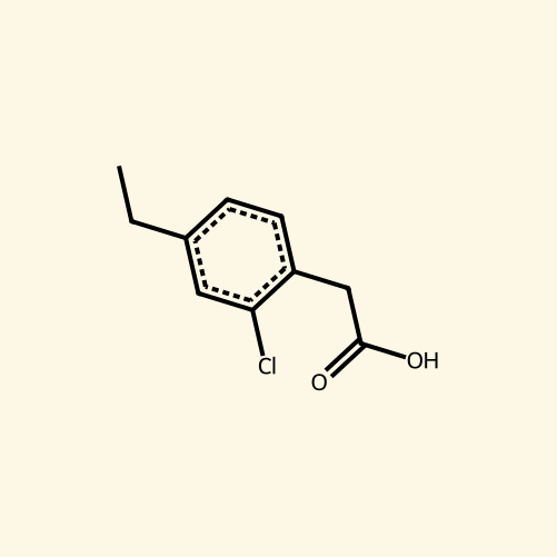 CCc1ccc(CC(=O)O)c(Cl)c1